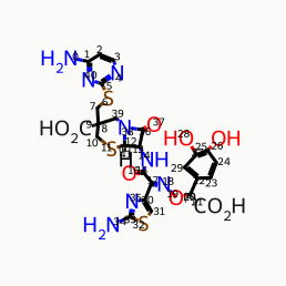 Nc1ccnc(SCC2(C(=O)O)CS[C@@H]3C(NC(=O)C(=NO[C@@H](C(=O)O)c4ccc(O)c(O)c4)c4csc(N)n4)C(=O)N3C2)n1